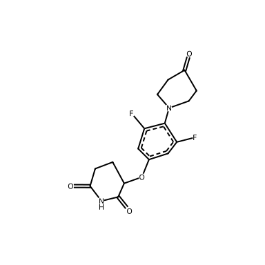 O=C1CCN(c2c(F)cc(OC3CCC(=O)NC3=O)cc2F)CC1